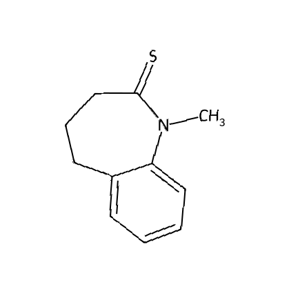 CN1C(=S)CCCc2ccccc21